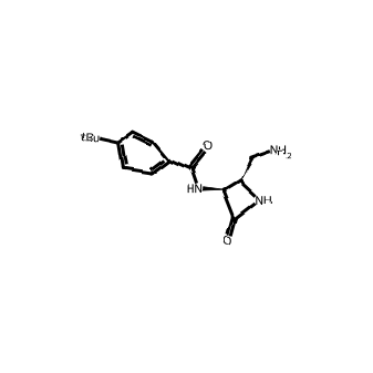 CC(C)(C)c1ccc(C(=O)N[C@@H]2C(=O)N[C@@H]2CN)cc1